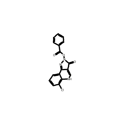 O=C(On1nc2c3cccc(Cl)c3[nH]cc-2c1=O)c1ccccc1